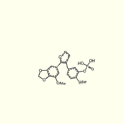 COc1cc(-c2oncc2-c2ccc(SC)c(OP(=O)(O)O)c2)cc2c1OCO2